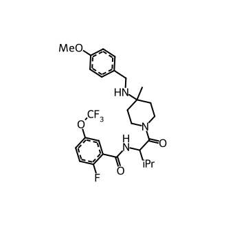 COc1ccc(CNC2(C)CCN(C(=O)C(NC(=O)c3cc(OC(F)(F)F)ccc3F)C(C)C)CC2)cc1